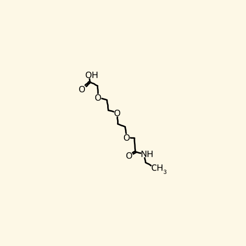 CCNC(=O)COCCOCCOCC(=O)O